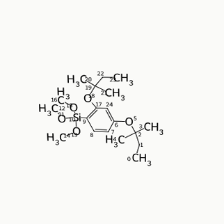 CCC(C)(C)Oc1ccc([Si](OC)(OC)OC)c(OC(C)(C)CC)c1